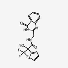 O=C(NCc1nc2ccccc2c(=O)[nH]1)C(O)(c1cccs1)C(F)(F)F